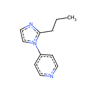 CC[CH]c1nccn1-c1ccncc1